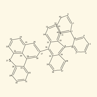 C1=CC(c2ccccc2-c2c3ccccc3c(-c3cc4c5c(cccc5c3)Sc3ccccc3-4)c3ccccc23)=CCC1